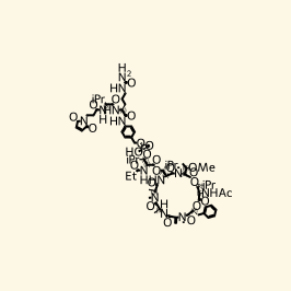 C=C1C(=O)N[C@@H](C)C(=O)N(C)[C@@H](C)C(=O)N[C@@H]([C@H](OC(=O)[C@@H](NC(=O)CC)[C@H](OP(=O)(O)OCc2ccc(NC(=O)[C@H](CCCNC(N)=O)NC(=O)[C@@H](NC(=O)CCN3C(=O)C=CC3=O)C(C)C)cc2)C(C)C)C(C)C)C(=O)N(C)[C@@H]([C@@H](C)OC)C(=O)O[C@H](C(C)C)[C@H](NC(C)=O)C(=O)O[C@H](Cc2ccccc2)C(=O)N1C